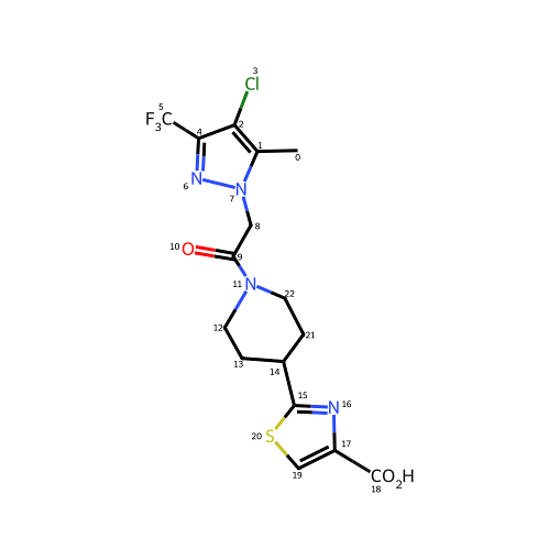 Cc1c(Cl)c(C(F)(F)F)nn1CC(=O)N1CCC(c2nc(C(=O)O)cs2)CC1